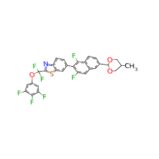 CC1COC(c2ccc3c(F)c(-c4ccc5nc(C(F)(F)Oc6cc(F)c(F)c(F)c6)sc5c4)c(F)cc3c2)OC1